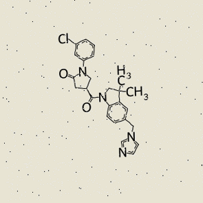 CC1(C)CN(C(=O)[C@H]2CC(=O)N(c3cccc(Cl)c3)C2)c2ccc(Cn3ccnc3)cc21